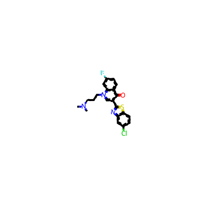 CN(C)CCCn1cc(-c2nc3cc(Cl)ccc3s2)c(=O)c2ccc(F)cc21